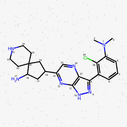 CN(C)c1cccc(-c2n[nH]c3nc(C4CC(N)C5(CCNCC5)C4)cnc23)c1Cl